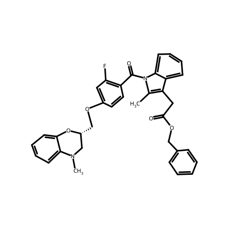 Cc1c(CC(=O)OCc2ccccc2)c2ccccc2n1C(=O)c1ccc(OC[C@@H]2CN(C)c3ccccc3O2)cc1F